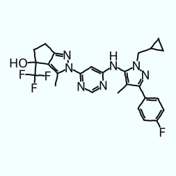 Cc1c(-c2ccc(F)cc2)nn(CC2CC2)c1Nc1cc(-n2nc3c(c2C)C(O)(C(F)(F)F)CC3)ncn1